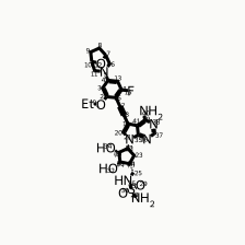 CCOc1cc(N2CC3CCC(C2)O3)cc(F)c1C#Cc1cn([C@@H]2C[C@H](CNS(N)(=O)=O)[C@@H](O)[C@H]2O)c2ncnc(N)c12